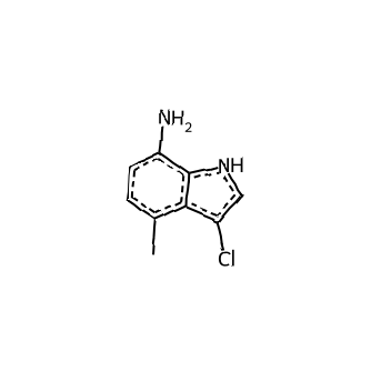 Cc1ccc(N)c2[nH]cc(Cl)c12